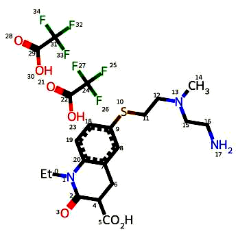 CCN1C(=O)C(C(=O)O)Cc2cc(SCCN(C)CCN)ccc21.O=C(O)C(F)(F)F.O=C(O)C(F)(F)F